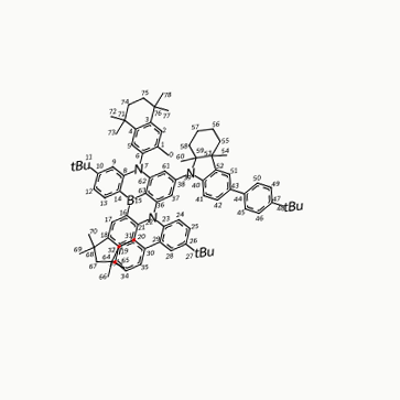 Cc1cc2c(cc1N1c3cc(C(C)(C)C)ccc3B3c4cc5c(cc4N(c4ccc(C(C)(C)C)cc4-c4ccccc4)c4cc(N6c7ccc(-c8ccc(C(C)(C)C)cc8)cc7C7(C)CCCCC67C)cc1c43)C(C)(C)CC5(C)C)C(C)(C)CCC2(C)C